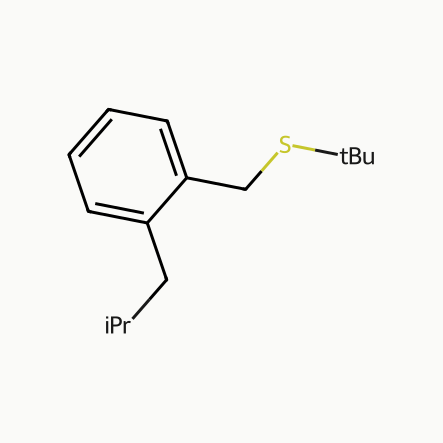 CC(C)Cc1ccccc1CSC(C)(C)C